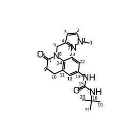 Cn1ccc(CN2C(=O)CCc3cc(NC(=O)NC(C)(C)C)ccc32)n1